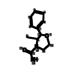 CC1C(c2ccccc2)OCCN1C([NH])=O